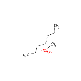 CCCCCCC.CO.O